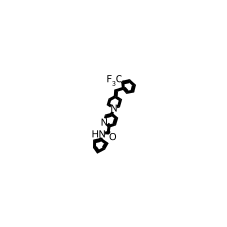 O=C(Nc1ccccc1)c1ccc(N2CCC(=Cc3ccccc3C(F)(F)F)CC2)cn1